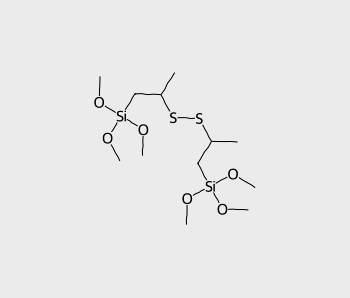 CO[Si](CC(C)SSC(C)C[Si](OC)(OC)OC)(OC)OC